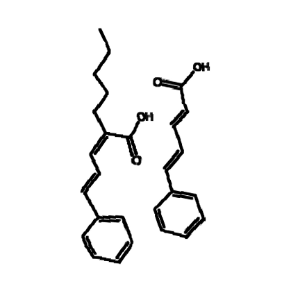 CCCCCC(=CC=Cc1ccccc1)C(=O)O.O=C(O)C=CC=Cc1ccccc1